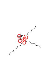 CCCCCCCC(=O)[O][Ti](=[O])([O]C(=O)CCCCCCC)([C](=O)CCCCCCC)[CH](C)C